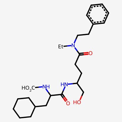 CCN(CCc1ccccc1)C(=O)CCC(CO)NC(=O)C(CC1CCCCC1)NC(=O)O